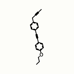 CC#CCc1ccc(C#Cc2ccc(OCCC)cc2)cc1